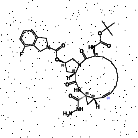 CC(C)(C)OC(=O)N[C@H]1CCCCC/C=C\[C@@H]2C[C@@]2(C(=O)NN)NC(=O)[C@@H]2C[C@@H](OC(=O)N3Cc4cccc(F)c4C3)CN2C1=O